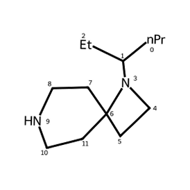 CCCC(CC)N1CCC12CCNCC2